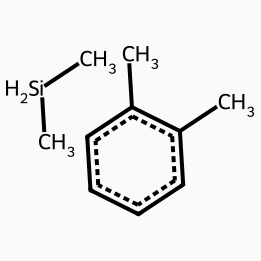 C[SiH2]C.Cc1ccccc1C